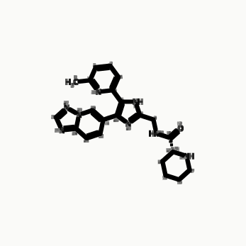 Cc1cccc(-c2[nH]c(CNC(=O)[C@H]3CCCCN3)nc2-c2ccc3ncnn3c2)n1